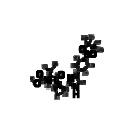 COC(=O)NC(C(=O)N1[C@@H](C)CC[C@H]1c1nc(-c2ccc(B3OC(C)(C)C(C)(C)O3)cc2)c[nH]1)C(C)C